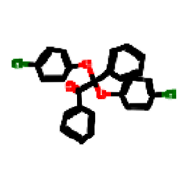 O=C(c1ccccc1)C(Oc1ccc(Cl)cc1)(Oc1ccc(Cl)cc1)c1ccccc1